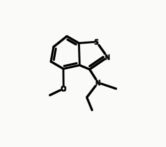 CCN(C)c1nsc2cccc(OC)c12